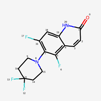 O=c1ccc2c(F)c(N3CCC(F)(F)CC3)c(F)cc2[nH]1